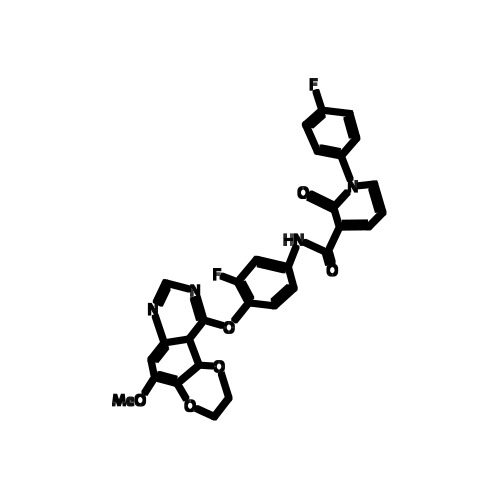 COC1=C2OCCOC2C2C(=C1)N=CN=C2Oc1ccc(NC(=O)c2cccn(-c3ccc(F)cc3)c2=O)cc1F